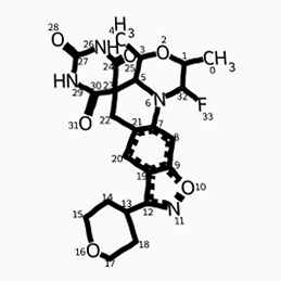 CC1OC(C)C2N(c3cc4onc(C5CCOCC5)c4cc3CC23C(=O)NC(=O)NC3=O)C1F